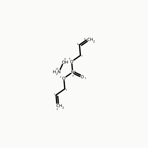 C=CCO[N+](=O)OCC=C.NO